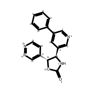 O=C1N[C@H](c2cncc(-c3ccccc3)c2)[C@@H](c2ccnnc2)O1